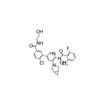 CN(C(=O)c1c(F)cccc1Cl)c1ncc(-c2cc(C(=O)NCCO)ccc2Cl)cc1N1CC2CC2C1